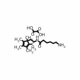 CC1=C(C)C(C)(CCNC(=O)CCCCCN)C(C)=C1C.O=C(O)C(=O)O